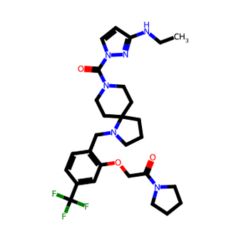 CCNc1ccn(C(=O)N2CCC3(CCCN3Cc3ccc(C(F)(F)F)cc3OCC(=O)N3CCCC3)CC2)n1